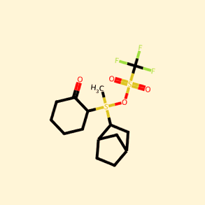 CS(OS(=O)(=O)C(F)(F)F)(C1CCCCC1=O)C1CC2CCC1C2